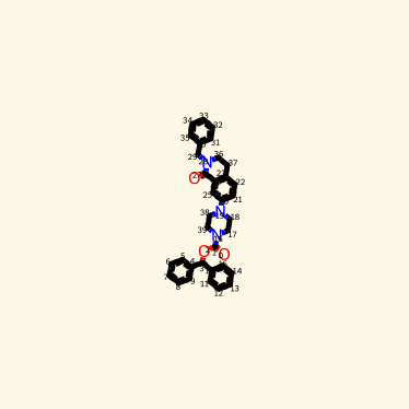 O=C(OC(c1ccccc1)c1ccccc1)N1CCN(c2ccc3c(c2)C(=O)N(Cc2ccccc2)CC3)CC1